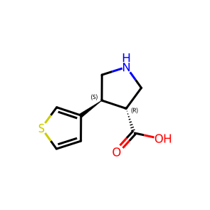 O=C(O)[C@H]1CNC[C@@H]1c1ccsc1